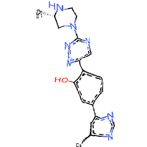 CCc1cc(-c2ccc(-c3cnc(N4CCN[C@@H](C(C)C)C4)nn3)c(O)c2)ncn1